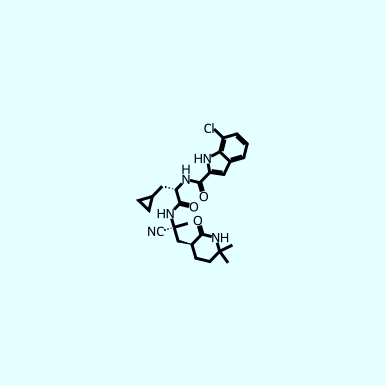 CC1(C)CC[C@@H](C[C@@](C)(C#N)NC(=O)[C@H](CC2CC2)NC(=O)c2cc3cccc(Cl)c3[nH]2)C(=O)N1